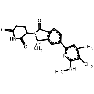 CNc1nc(-c2ccc3c(c2)[C@H](C)N(C2CCC(=O)NC2=O)C3=O)cc(C)c1C